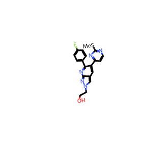 CSc1nccc(-c2cc3cn(CCO)nc3nc2-c2ccc(F)cc2)n1